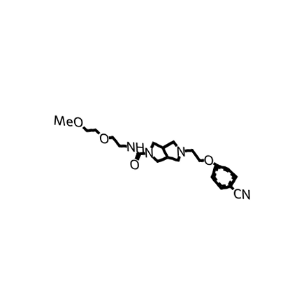 COCCOCCNC(=O)N1CC2CN(CCOc3ccc(C#N)cc3)CC2C1